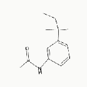 CCC(C)(C)c1cccc(NC(C)=O)c1